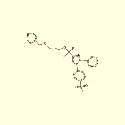 CS(=O)(=O)c1ccc(-c2cc(C(F)(F)OCCCOCc3ccccc3)nn2-c2ccccc2)cc1